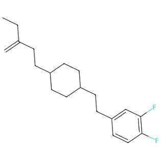 C=C(CC)CCC1CCC(CCc2ccc(F)c(F)c2)CC1